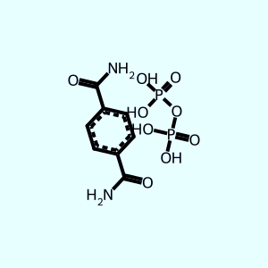 NC(=O)c1ccc(C(N)=O)cc1.O=P(O)(O)OP(=O)(O)O